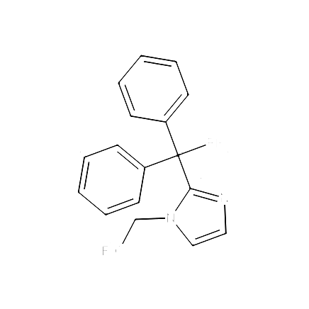 BC(c1ccccc1)(c1ccccc1)c1nccn1CC(F)(F)F